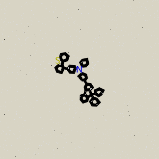 c1ccc(N(c2ccc(-c3ccc4c(c3)-c3ccccc3C4(c3ccccc3)c3ccccc3)cc2)c2ccc(-c3cccc4sc5ccccc5c34)cc2)cc1